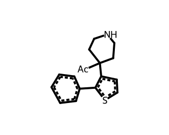 CC(=O)C1(c2ccsc2-c2ccccc2)CCNCC1